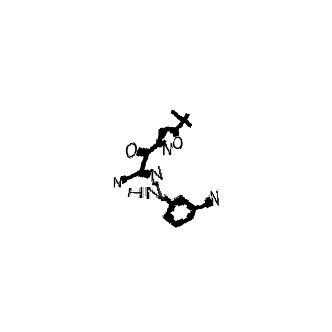 CC(C)(C)c1cc(C(=O)/C(C#N)=N/Nc2cccc(C#N)c2)no1